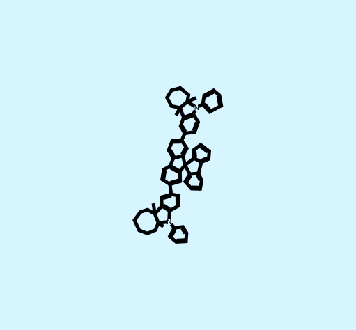 CC12CCCCCCC1(C)N(c1ccccc1)c1ccc(-c3ccc4c(c3)C3(c5ccccc5-c5ccccc53)c3cc(-c5ccc6c(c5)C5(C)CCCCCC5(C)N6c5ccccc5)ccc3-4)cc12